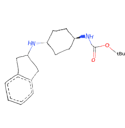 CC(C)(C)OC(=O)N[C@H]1CC[C@H](NC2Cc3ccccc3C2)CC1